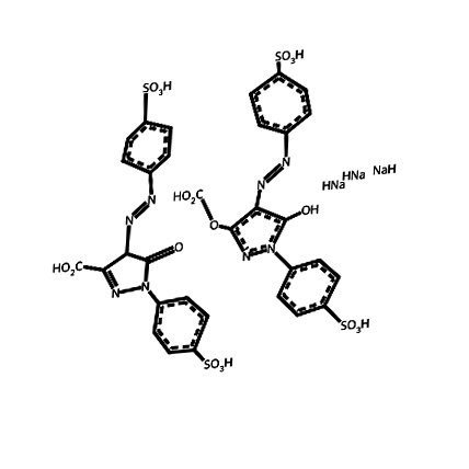 O=C(O)C1=NN(c2ccc(S(=O)(=O)O)cc2)C(=O)C1N=Nc1ccc(S(=O)(=O)O)cc1.O=C(O)Oc1nn(-c2ccc(S(=O)(=O)O)cc2)c(O)c1N=Nc1ccc(S(=O)(=O)O)cc1.[NaH].[NaH].[NaH]